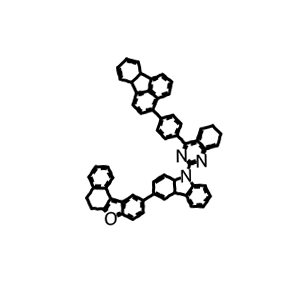 C1=CC2c3cccc4c(-c5ccc(-c6nc(N7c8ccccc8C8C=C(c9ccc%10oc%11c(c%10c9)-c9ccccc9CC%11)C=CC87)nc7c6=CCCC=7)cc5)ccc(c34)C2C=C1